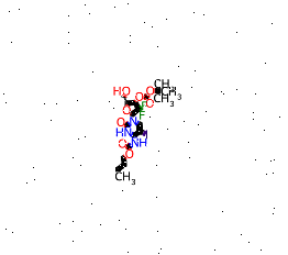 CCCCOC(=O)NC1NC(=O)N([C@@H]2O[C@H](CO)C(OC(=O)OC(C)(C)C)C2(F)F)C=C1I